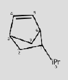 CC(C)C1[CH]C2C=CC1C2